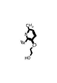 Cc1ccc(OCCO)c(Br)n1